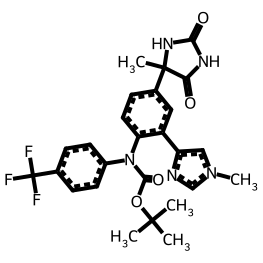 Cn1cnc(-c2cc(C3(C)NC(=O)NC3=O)ccc2N(C(=O)OC(C)(C)C)c2ccc(C(F)(F)F)cc2)c1